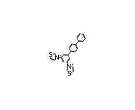 c1ccc(-c2ccc(-c3cc(-[n+]4ccsc4)cc(-[n+]4ccsc4)c3)cc2)cc1